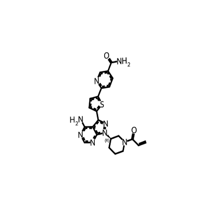 C=CC(=O)N1CCC[C@@H](n2nc(-c3ccc(-c4ccc(C(N)=O)cn4)s3)c3c(N)ncnc32)C1